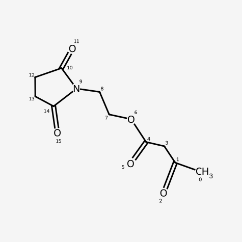 CC(=O)CC(=O)OCCN1C(=O)CCC1=O